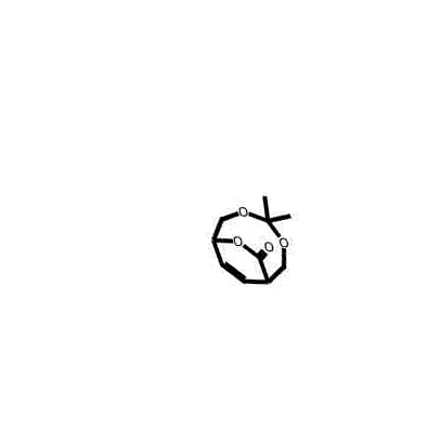 CC1(C)OCC2C=CC(CO1)C(=O)O2